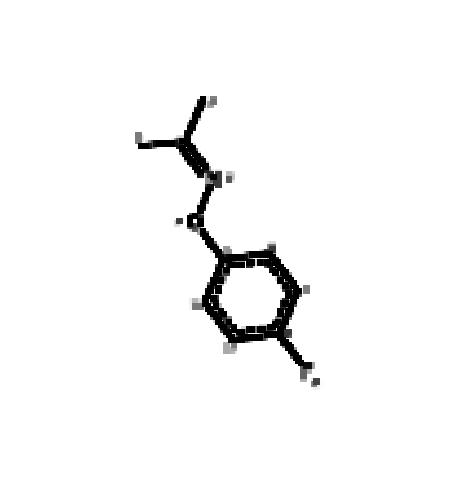 CC(C)=NOc1ccc(F)cc1